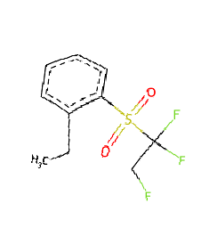 CCc1ccccc1S(=O)(=O)C(F)(F)CF